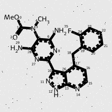 COC(=O)N(C)c1c(N)nc(-c2n[nH]c3nccc(Cc4ccccc4F)c23)nc1N